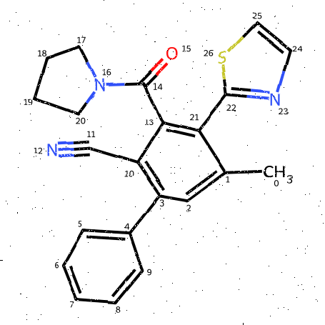 Cc1cc(-c2ccccc2)c(C#N)c(C(=O)N2CCCC2)c1-c1nccs1